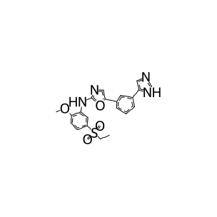 CCS(=O)(=O)c1ccc(OC)c(Nc2ncc(-c3cccc(-c4cnc[nH]4)c3)o2)c1